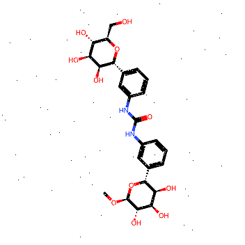 CO[C@H]1O[C@H](c2cccc(NC(=O)Nc3cccc([C@H]4O[C@H](CO)[C@@H](O)[C@H](O)[C@@H]4O)c3)c2)[C@@H](O)[C@@H](O)[C@@H]1O